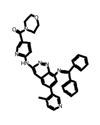 Cc1ccncc1-c1cc(N=C(c2ccccc2)c2ccccc2)c2nnc(Nc3ccc(C(=O)N4CCOCC4)cn3)cc2c1